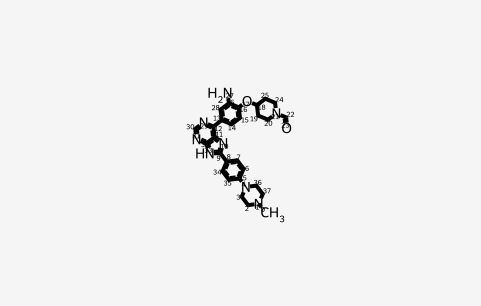 CN1CCN(c2ccc(-c3nc4c(-c5ccc(OC6CCN(C=O)CC6)c(N)c5)ncnc4[nH]3)cc2)CC1